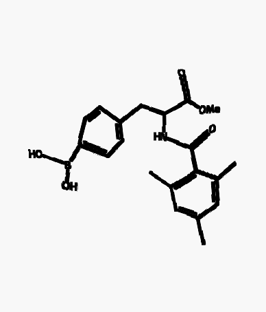 COC(=O)C(Cc1ccc(B(O)O)cc1)NC(=O)c1c(C)cc(C)cc1C